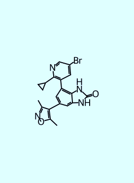 Cc1noc(C)c1-c1cc(-c2cc(Br)cnc2C2CC2)c2[nH]c(=O)[nH]c2c1